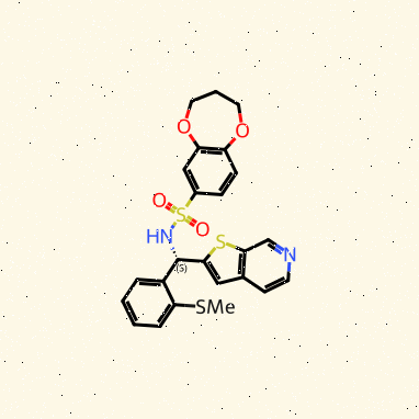 CSc1ccccc1[C@H](NS(=O)(=O)c1ccc2c(c1)OCCCO2)c1cc2ccncc2s1